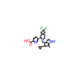 Cc1cc(C2CC2)c(CN2CCC3(C[C@@H]2c2ccc(C(=O)O)nc2)CC(F)(F)C3)c2cc[nH]c12